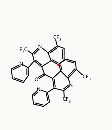 O=C(c1c(-c2ccccn2)c(C(F)(F)F)nc2c(C(F)(F)F)cccc12)c1c(-c2ccccn2)c(C(F)(F)F)nc2c(C(F)(F)F)cccc12